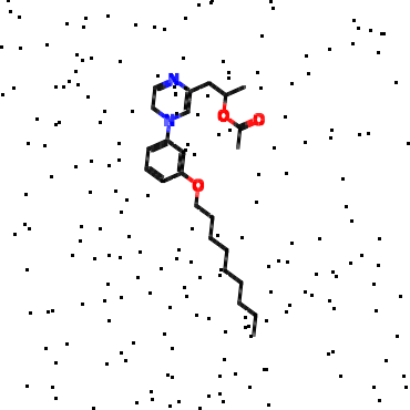 CCCCCCCCCOc1cccc(N2C=C(CC(C)OC(C)=O)N=CC2)c1